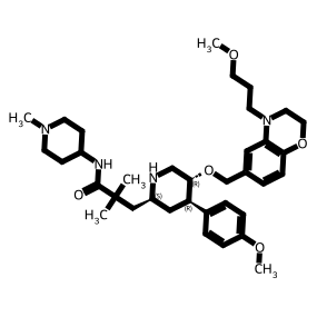 COCCCN1CCOc2ccc(CO[C@H]3CN[C@H](CC(C)(C)C(=O)NC4CCN(C)CC4)C[C@@H]3c3ccc(OC)cc3)cc21